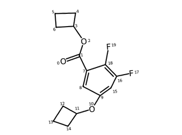 O=C(OC1CCC1)c1cc(OC2CCC2)cc(F)c1F